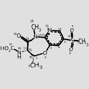 C[C@H]1Oc2cc(S(C)(=O)=O)cnc2N(C)C(=O)[C@H]1NC(=O)O